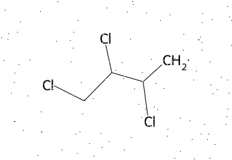 [CH2]C(Cl)C(Cl)CCl